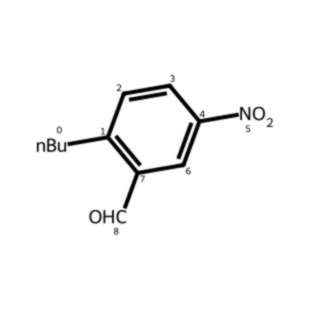 CCCCc1ccc([N+](=O)[O-])cc1C=O